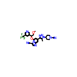 COCC(Oc1cc(-c2nnn(C3CCN(C#N)CC3)c2C)cc2ncc(C#N)n12)c1cncc(C(F)(F)F)c1